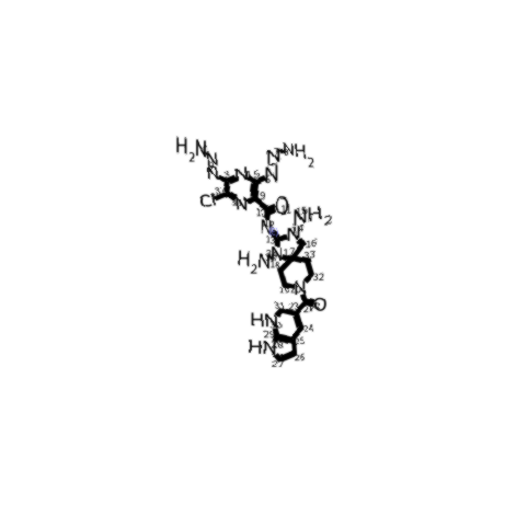 NN=Nc1nc(N=NN)c(C(=O)/N=C2\N(N)CC3(CCN(C(=O)C4=Cc5cc[nH]c5NC4)CC3)N2N)nc1Cl